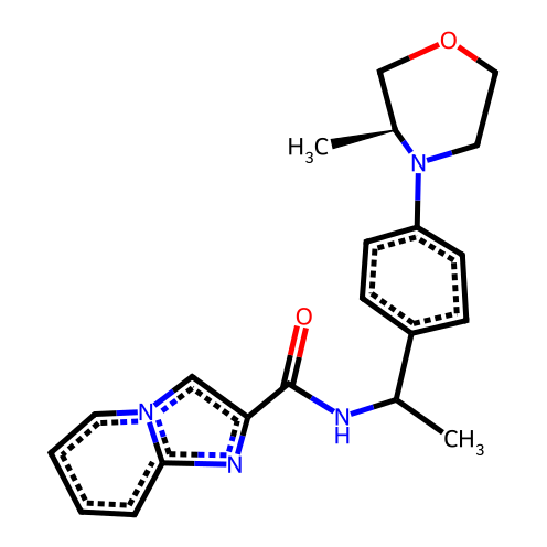 CC(NC(=O)c1cn2ccccc2n1)c1ccc(N2CCOC[C@@H]2C)cc1